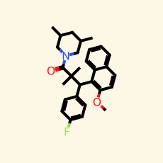 COc1ccc2ccccc2c1C(c1ccc(F)cc1)C(C)(C)C(=O)N1CC(C)CC(C)C1